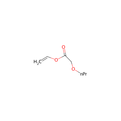 C=COC(=O)COCCC